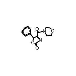 O=C1N=C(C(=O)N2CCOCC2)C(c2ccccc2)O1